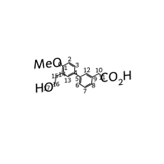 COc1ccc(-c2cccc(CC(=O)O)c2)cc1CCO